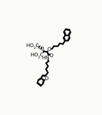 O=C(O)COC(C(=O)O)C(OCCCCCc1ccc2ccccc2c1)C(=O)NCCCCCc1cc2ccccc2o1